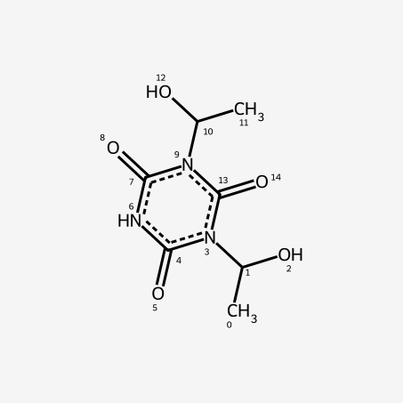 CC(O)n1c(=O)[nH]c(=O)n(C(C)O)c1=O